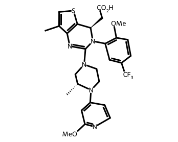 COc1cc(N2CCN(C3=Nc4c(C)csc4[C@@H](CC(=O)O)N3c3cc(C(F)(F)F)ccc3OC)C[C@H]2C)ccn1